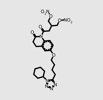 O=C1CCc2cc(OCCCCc3nnnn3C3CCCCC3)ccc2N1C(=O)CC(CO[N+](=O)[O-])CO[N+](=O)[O-]